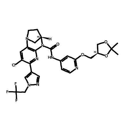 CC1(C)OC[C@H](COc2cc(NC(=O)N3c4nc(-c5cnn(CC(F)(F)F)c5)c(Cl)cc4N4CC[C@H]3C4)ccn2)O1